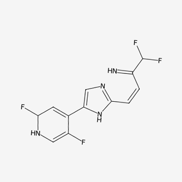 N=C(/C=C\c1ncc(C2=CC(F)NC=C2F)[nH]1)C(F)F